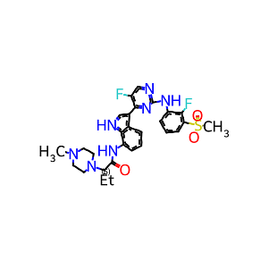 CC[C@@H](C(=O)Nc1cccc2c(-c3nc(Nc4cccc(S(C)(=O)=O)c4F)ncc3F)c[nH]c12)N1CCN(C)CC1